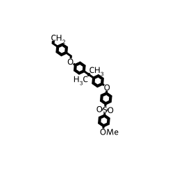 C=Cc1ccc(COc2ccc(C(C)(C)c3ccc(Oc4ccc(S(=O)(=O)c5ccc(OC)cc5)cc4)cc3)cc2)cc1